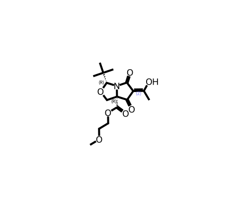 COCCOC(=O)[C@]12CO[C@H](C(C)(C)C)N1C(=O)/C(=C(/C)O)C2=O